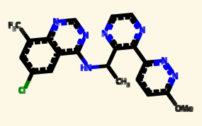 COc1ccc(-c2nccnc2C(C)Nc2ncnc3c(C(F)(F)F)cc(Cl)cc23)nn1